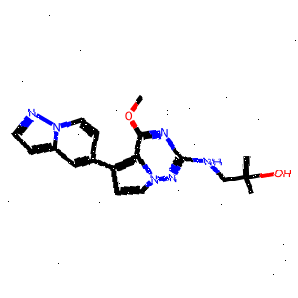 COc1nc(NCC(C)(C)O)nn2ccc(-c3ccn4nccc4c3)c12